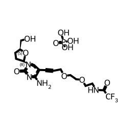 Nc1nc(=O)n([C@H]2CC[C@@H](CO)O2)cc1C#CCOCCOCCNC(=O)C(F)(F)F.O=P(O)(O)O